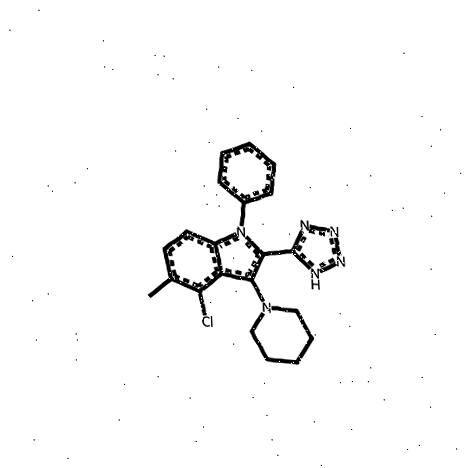 Cc1ccc2c(c1Cl)c(N1CCCCC1)c(-c1nnn[nH]1)n2-c1ccccc1